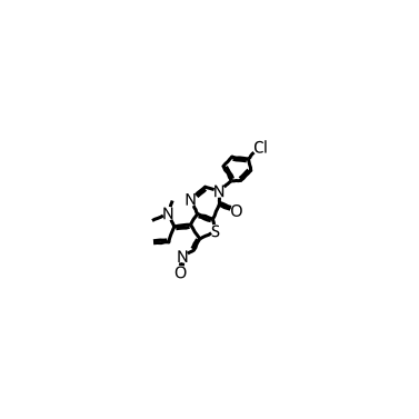 C=C/C(=c1\c(=C/N=O)sc2c(=O)n(-c3ccc(Cl)cc3)cnc12)N(C)C